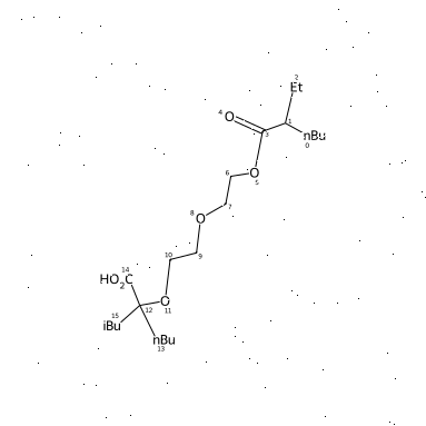 CCCCC(CC)C(=O)OCCOCCOC(CCCC)(C(=O)O)C(C)CC